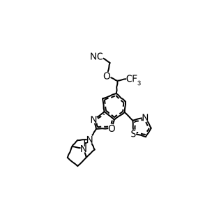 N#CCOC(c1cc(-c2nccs2)c2oc(N3CC4CCC(C3)N4F)nc2c1)C(F)(F)F